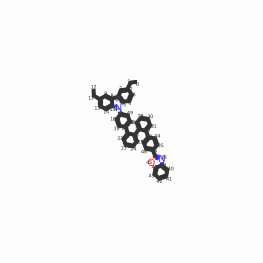 CCc1ccc2c(c1)c1cc(CC)ccc1n2-c1ccc(-c2ccccc2-c2ccccc2-c2ccc(-c3nc4ccccc4o3)cc2)cc1